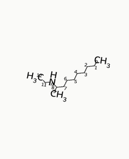 CCCCCCCCC(C)NCC